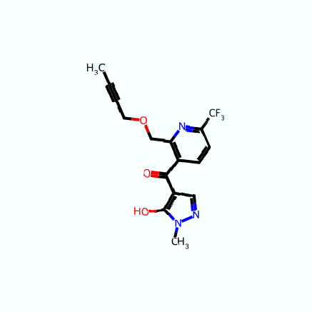 CC#CCOCc1nc(C(F)(F)F)ccc1C(=O)c1cnn(C)c1O